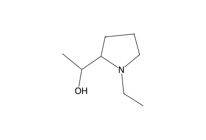 CCN1CCCC1C(C)O